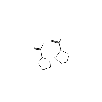 S=C([S-])C1NCCS1.S=C([S-])C1NCCS1.[Zn+2]